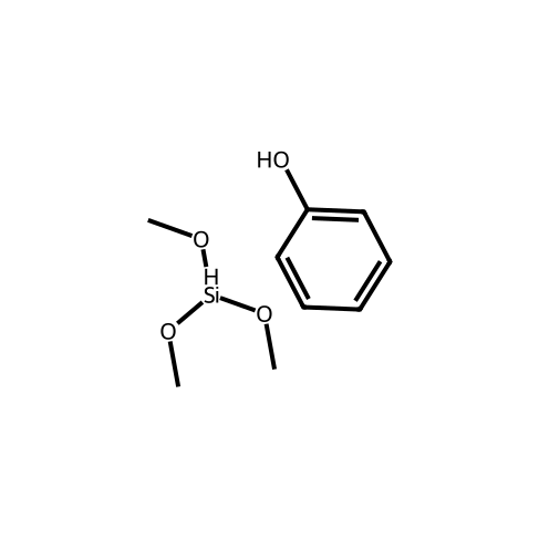 CO[SiH](OC)OC.Oc1ccccc1